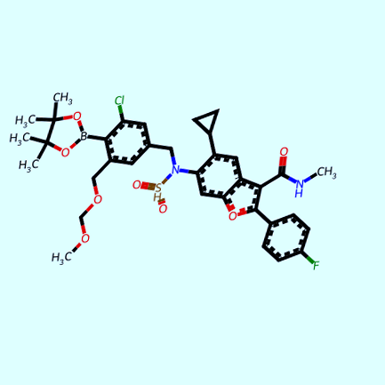 CNC(=O)c1c(-c2ccc(F)cc2)oc2cc(N(Cc3cc(Cl)c(B4OC(C)(C)C(C)(C)O4)c(COCOC)c3)[SH](=O)=O)c(C3CC3)cc12